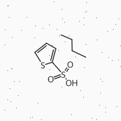 CCCC.O=S(=O)(O)c1cccs1